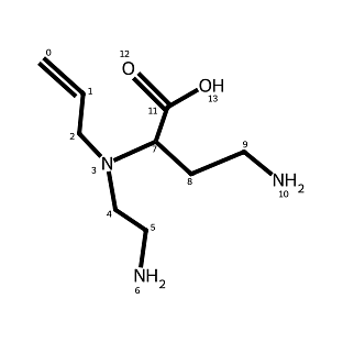 C=CCN(CCN)C(CCN)C(=O)O